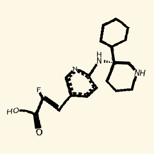 O=C(O)/C(F)=C/c1ccc(N[C@@]2(C3CCCCC3)CCCNC2)nc1